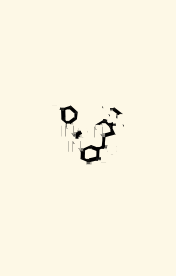 O=C(Nc1cccc(F)c1)Nc1cc(F)c(F)c(C(=O)c2cc3nccnc3cn2)c1